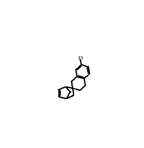 CCc1ccc2c(c1)CC1(CC2)CC2C=CC1C2